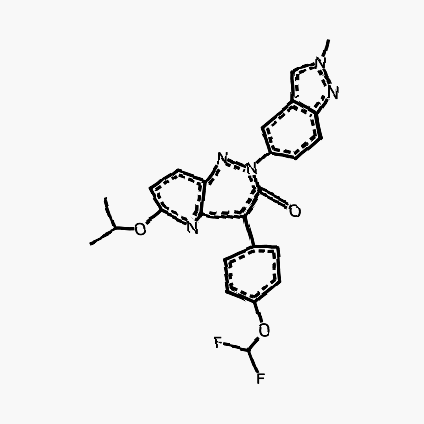 CC(C)Oc1ccc2nn(-c3ccc4nn(C)cc4c3)c(=O)c(-c3ccc(OC(F)F)cc3)c2n1